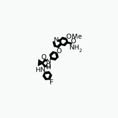 COc1cc2nccc(Oc3ccc(NC(=O)C4(C(=O)Nc5ccc(F)cc5)CC4)cc3)c2cc1C(N)=O